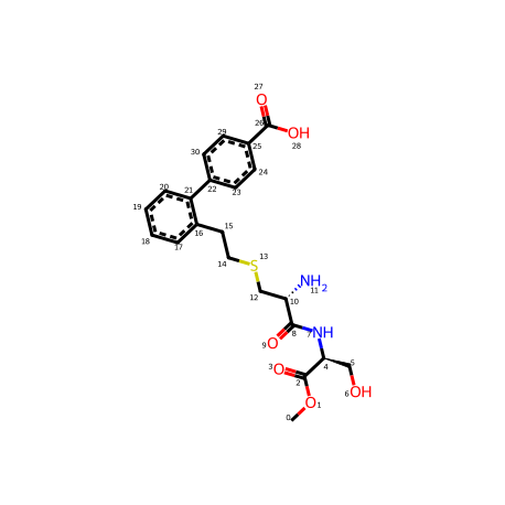 COC(=O)[C@H](CO)NC(=O)[C@@H](N)CSCCc1ccccc1-c1ccc(C(=O)O)cc1